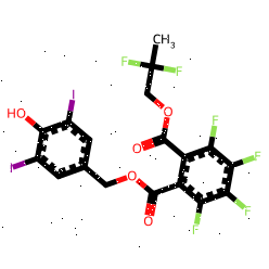 CC(F)(F)COC(=O)c1c(F)c(F)c(F)c(F)c1C(=O)OCc1cc(I)c(O)c(I)c1